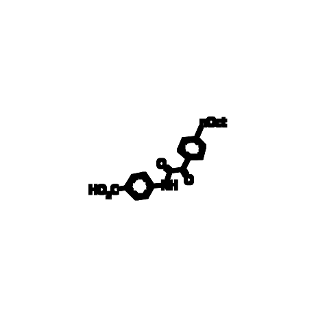 CCCCCCCCc1ccc(C(=O)C(=O)Nc2ccc(C(=O)O)cc2)cc1